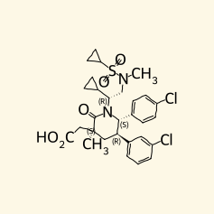 CN(C[C@@H](C1CC1)N1C(=O)[C@](C)(CC(=O)O)C[C@H](c2cccc(Cl)c2)[C@H]1c1ccc(Cl)cc1)S(=O)(=O)C1CC1